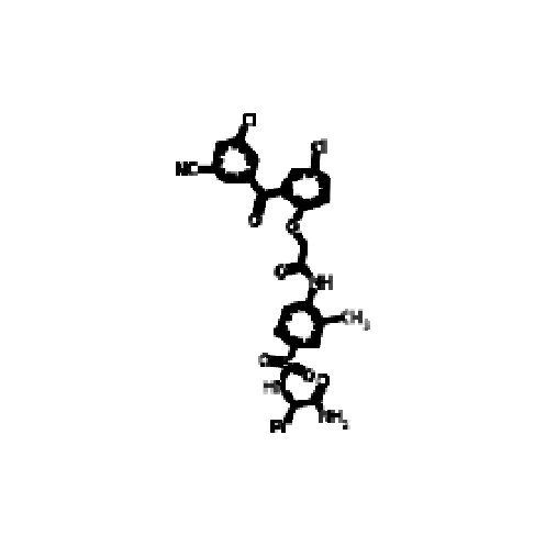 Cc1cc(S(=O)(=O)NC(C(N)=O)C(C)C)ccc1NC(=O)COc1ccc(Cl)cc1C(=O)c1cc(Cl)cc(C#N)c1